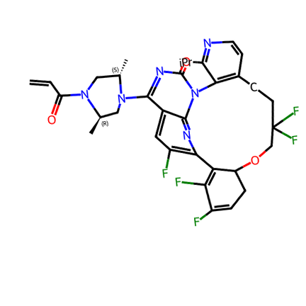 C=CC(=O)N1C[C@H](C)N(c2nc(=O)n3c4nc(c(F)cc24)C2=C(F)C(F)=CCC2OCC(F)(F)CCc2ccnc(C(C)C)c2-3)C[C@H]1C